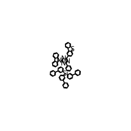 c1ccc(-c2cccc([Si](c3cccc(-c4ccccc4)c3)(c3cccc(-c4ccccc4)c3)c3cccc(-c4nc(-c5ccc6sc7ccccc7c6c5)nc(-n5c6ccccc6c6ccccc65)n4)c3)c2)cc1